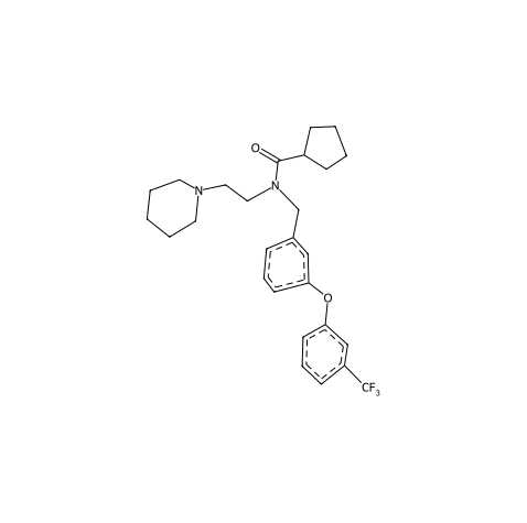 O=C(C1CCCC1)N(CCN1CCCCC1)Cc1cccc(Oc2cccc(C(F)(F)F)c2)c1